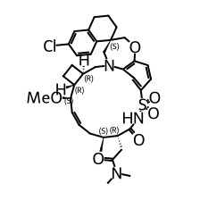 CO[C@@H]1C=CC[C@H](C)[C@@H](CC(=O)N(C)C)C(=O)NS(=O)(=O)c2ccc3c(c2)N(C[C@@H]2CC[C@H]21)C[C@@]1(CCCc2cc(Cl)ccc21)CO3